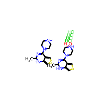 CC1N=C(N2CCNCC2)c2cscc2N1.CC1N=C(N2CCNCC2)c2cscc2N1.Cl.Cl.Cl.Cl.O